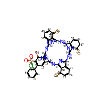 O=S(=O)(Cl)C1=C(c2ccccc2)C=c2c(c3[nH]/c2=N\C2=C4C(=S)C=CC=C4C(=N2)/N=c2\[nH]/c(c4c2C(=S)CC=C4)=N\c2[nH]c(c4c2C(=S)C=CC=4)=N3)C1=S